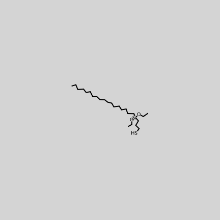 CCCCCCCCCCCCCCCCCC[Si](CCCS)(OCC)OCC